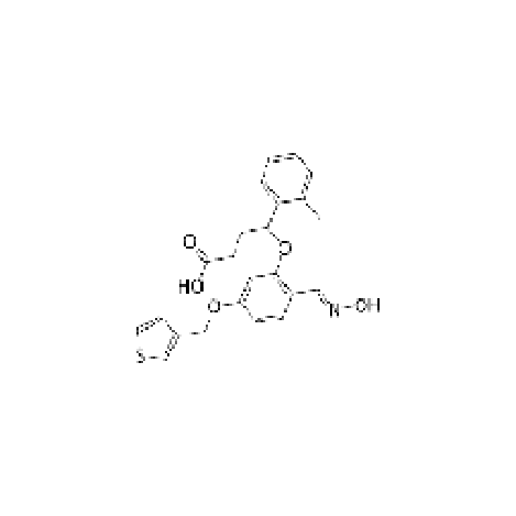 Cc1ccccc1C(CCC(=O)O)Oc1cc(OCc2ccsc2)ccc1C=NO